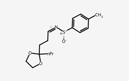 CCCC1(CC/C=N\[S@@+]([O-])c2ccc(C)cc2)OCCO1